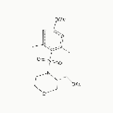 COc1cc(C)c(S(=O)(=O)N2CCOC[C@H]2COC(C)=O)c(C)c1